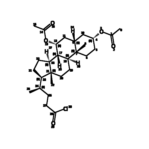 CC(=O)O[C@@H]1CC[C@@]2(C)[C@@H](C1)C[C@@H](OC(C)=O)[C@@H]1[C@@H]2CC[C@]2(C)[C@@H]([C@H](C)CCC(=O)Cl)CC[C@@H]12